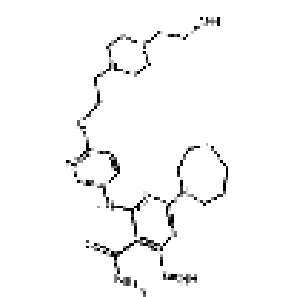 N=Cc1nc(N2CCCCCC2)nc(Nc2ccc(OCCN3CCN(CCO)CC3)nc2)c1C(N)=O